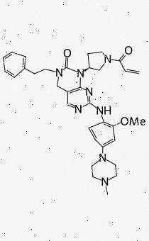 C=CC(=O)N1CC[C@H](N2C(=O)N(CCc3ccccc3)Cc3cnc(Nc4ccc(N5CCN(C)CC5)cc4OC)nc32)C1